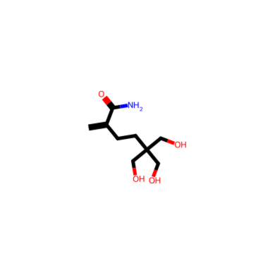 C=C(CCC(CO)(CO)CO)C(N)=O